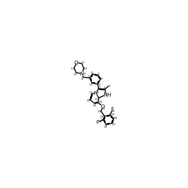 CC1=C(c2cccc(CN3CCOCC3)c2)N2C=CC=C(OCc3c(F)cccc3F)C2N1